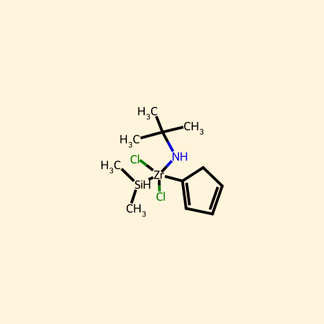 C[SiH](C)[Zr]([Cl])([Cl])([NH]C(C)(C)C)[C]1=CC=CC1